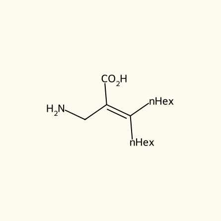 CCCCCCC(CCCCCC)=C(CN)C(=O)O